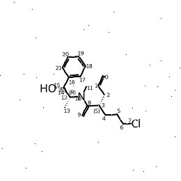 C=CC[C@H](CCCCl)C(=C)N(C)[C@H](C)[C@H](O)c1ccccc1